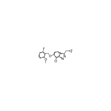 COc1cccc(F)c1COc1ccn2c(CC3CC3)nnc2c1Cl